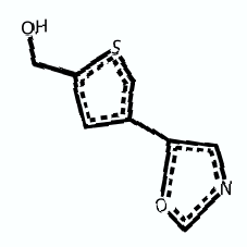 OCc1cc(-c2cnco2)cs1